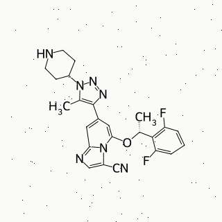 Cc1c(-c2cc(O[C@H](C)c3c(F)cccc3F)n3c(C#N)cnc3c2)nnn1C1CCNCC1